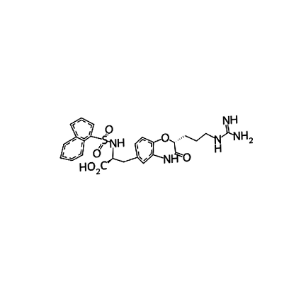 N=C(N)NCCC[C@H]1Oc2ccc(C[C@H](NS(=O)(=O)c3cccc4ccccc34)C(=O)O)cc2NC1=O